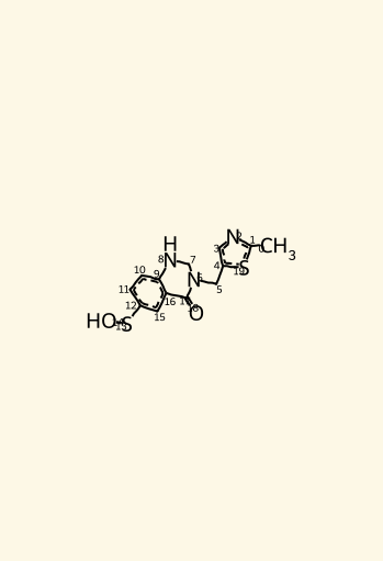 Cc1ncc(CN2CNc3ccc(SO)cc3C2=O)s1